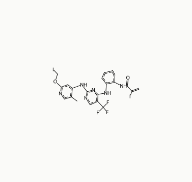 C=C(I)C(=O)Nc1ccccc1Nc1nc(Nc2cc(OCI)ncc2C)ncc1C(F)(F)F